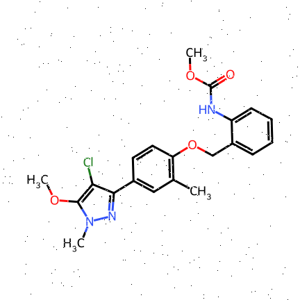 COC(=O)Nc1ccccc1COc1ccc(-c2nn(C)c(OC)c2Cl)cc1C